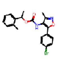 Cc1ccccc1C(C)OC(=O)Nc1c(C)noc1-c1ccc(Br)cc1